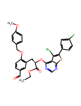 CCOC(=O)[C@@H](Cc1cc(C=O)ccc1OCc1ccc(OC)cc1)Oc1ncnc2sc(-c3ccc(F)cc3)c(Br)c12